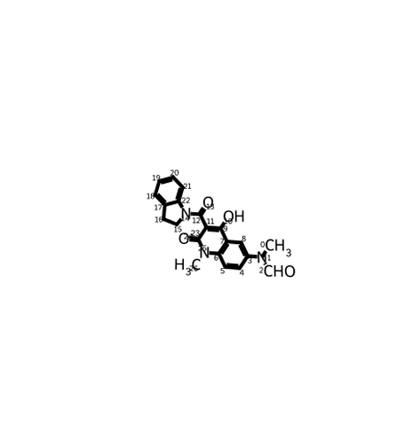 CN(C=O)c1ccc2c(c1)c(O)c(C(=O)N1CCc3ccccc31)c(=O)n2C